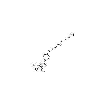 CC(C)(C)OC(=O)N1CCC(OCCCCOCCCCO)CC1